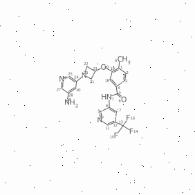 Cc1ccc(C(=O)Nc2cncc(C(F)(F)F)c2)cc1OC1CN(c2cncc(N)c2)C1